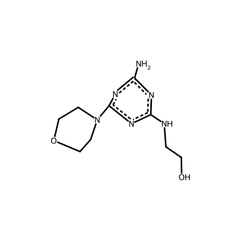 Nc1nc(NCCO)nc(N2CCOCC2)n1